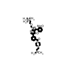 COc1cccc(OC)c1-c1nn(COCC[Si](C)(C)C)c2ncc(-c3cccc(C(=O)N4CCN(CCN(C)C)CC4)c3)cc12